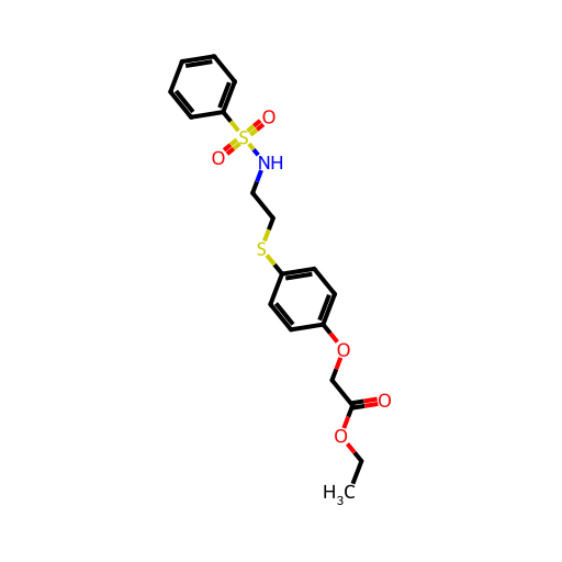 CCOC(=O)COc1ccc(SCCNS(=O)(=O)c2ccccc2)cc1